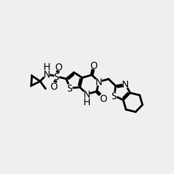 CC1(NS(=O)(=O)c2cc3c(=O)n(Cc4nc5c(s4)CCCC5)c(=O)[nH]c3s2)CC1